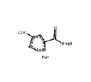 CCCCCCCC(=O)c1cccc(C(=O)[O-])c1.[Na+]